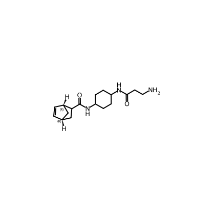 NCCC(=O)NC1CCC(NC(=O)C2C[C@@H]3C=C[C@H]2C3)CC1